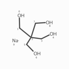 OCC(CO)(CO)CO.[Na]